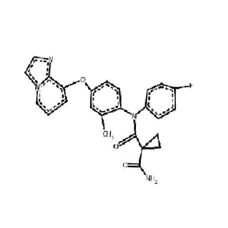 Cc1cc(Oc2cccn3ccnc23)ccc1N(C(=O)C1(C(N)=O)CC1)c1ccc(F)cc1